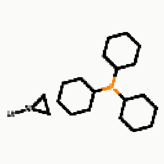 C1CCC(P(C2CCCCC2)C2CCCCC2)CC1.[CH2][CH2][Ni]1[CH2][CH2]1